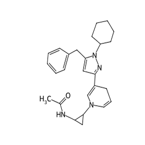 CC(=O)NC1CC1N1C=CCC(c2cc(Cc3ccccc3)n(C3CCCCC3)n2)=C1